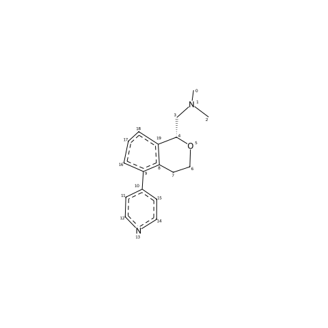 CN(C)C[C@@H]1OCCc2c(-c3ccncc3)cccc21